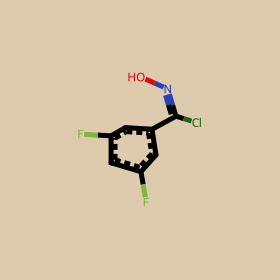 O/N=C(/Cl)c1cc(F)cc(F)c1